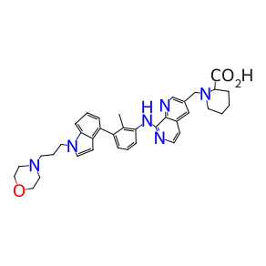 Cc1c(Nc2nccc3cc(CN4CCCCC4C(=O)O)cnc23)cccc1-c1cccc2c1ccn2CCCN1CCOCC1